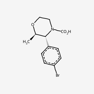 C[C@H]1OCCN(C(=O)O)[C@@H]1c1ccc(Br)cc1